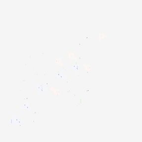 COc1ccc(S(=O)(=O)n2c(=O)n(C(C(=O)N3CCCC(N4CCNCC4)C3)c3ccccc3)c3cc(Cl)ccc32)cc1